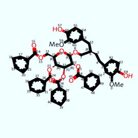 COc1cc(CC[C@@H](CO[C@@H]2O[C@H](COC(=O)c3ccccc3)[C@@H](OC(=O)c3ccccc3)[C@H](OC(=O)c3ccccc3)[C@H]2OC(=O)c2ccccc2)Cc2ccc(O)c(OC)c2)ccc1O